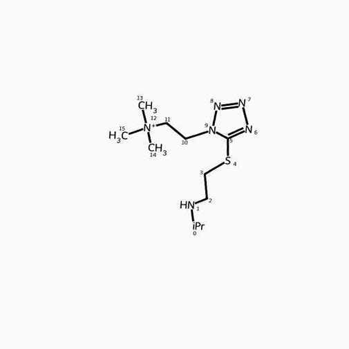 CC(C)NCCSc1nnnn1CC[N+](C)(C)C